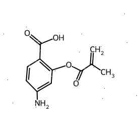 C=C(C)C(=O)Oc1cc(N)ccc1C(=O)O